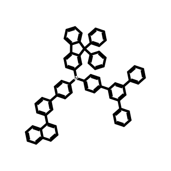 c1ccc(-c2cc(-c3ccccc3)cc(-c3ccc(N(c4ccc(-c5cccc(-c6cccc7ccccc67)c5)cc4)c4ccc5c(c4)C(c4ccccc4)(c4ccccc4)c4ccccc4-5)cc3)c2)cc1